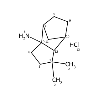 CC1(C)CCC2(N)C3CCC(C3)C12.Cl